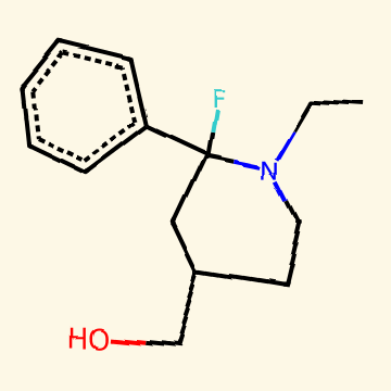 CCN1CCC(CO)CC1(F)c1ccccc1